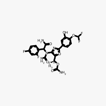 C[C@H](OC(N)=O)c1oc(-c2ccc(OC(F)F)c(O)c2)nc1N(C(N)=O)C(C(N)=O)c1ccc(F)cc1F